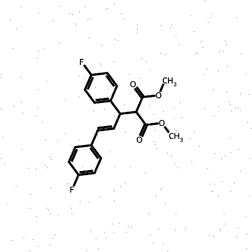 COC(=O)C(C(=O)OC)C(C=Cc1ccc(F)cc1)c1ccc(F)cc1